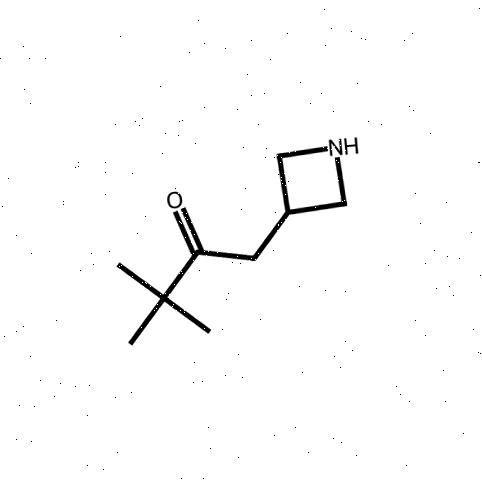 CC(C)(C)C(=O)CC1CNC1